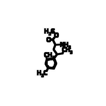 CCC(CC(N)C(=O)OC)c1ccc(C)cc1C